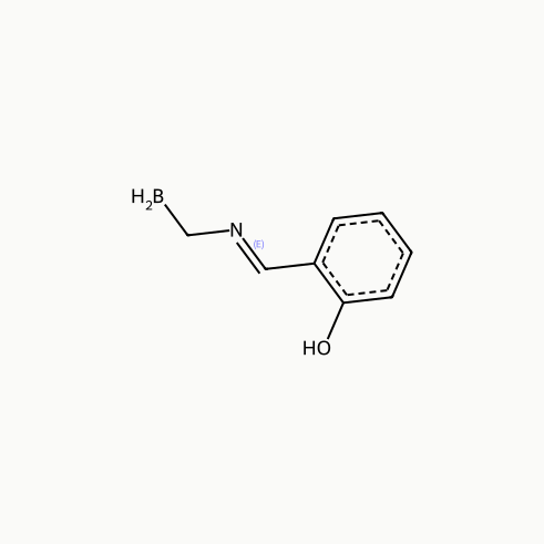 BC/N=C/c1ccccc1O